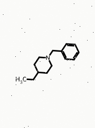 C[CH]C1CCN(Cc2ccccc2)CC1